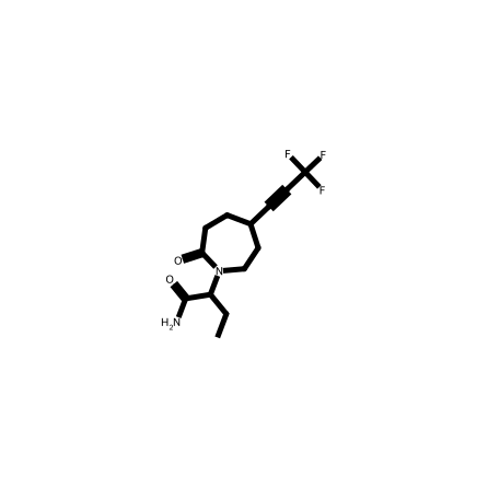 CCC(C(N)=O)N1CCC(C#CC(F)(F)F)CCC1=O